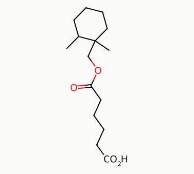 CC1CCCCC1(C)COC(=O)CCCCC(=O)O